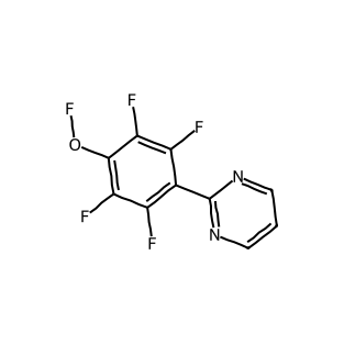 FOc1c(F)c(F)c(-c2ncccn2)c(F)c1F